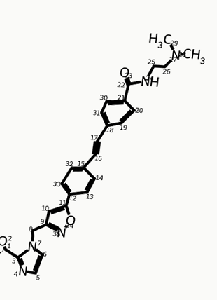 C[C@H](O)c1nccn1Cc1cc(-c2ccc(C#Cc3ccc(C(=O)NCCN(C)C)cc3)cc2)on1